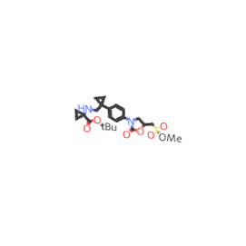 COS(=O)(=O)CC1CN(c2ccc(C3(CNC4(C(=O)OC(C)(C)C)CC4)CC3)cc2)C(=O)O1